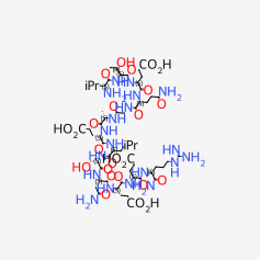 CC(C)C[C@H](NC(=O)[C@H](CCC(=O)O)NC(=O)[C@H](C)NC(=O)CNC(=O)[C@H](CCC(N)=O)NC(=O)[C@H](CCC(=O)O)NC(=O)[C@@H](NC(=O)[C@@H](N)C(C)C)[C@@H](C)O)C(=O)N[C@@H](CO)C(=O)N[C@@H](CC(N)=O)C(=O)N[C@@H](CCC(=O)O)C(=O)N[C@@H](CCC(=O)O)C(=O)N[C@@H](CCCNC(=N)N)C(N)=O